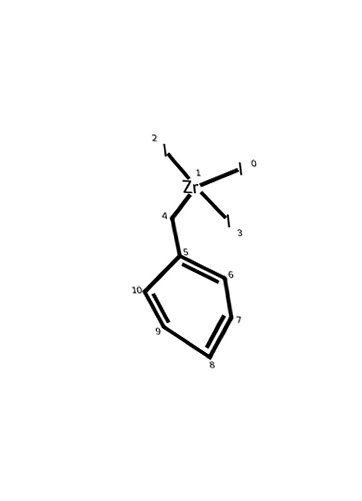 [I][Zr]([I])([I])[CH2]c1ccccc1